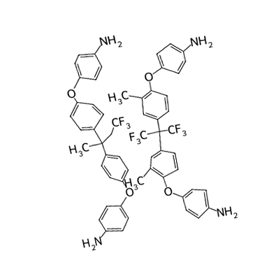 CC(CC(F)(F)F)(c1ccc(Oc2ccc(N)cc2)cc1)c1ccc(Oc2ccc(N)cc2)cc1.Cc1cc(C(c2ccc(Oc3ccc(N)cc3)c(C)c2)(C(F)(F)F)C(F)(F)F)ccc1Oc1ccc(N)cc1